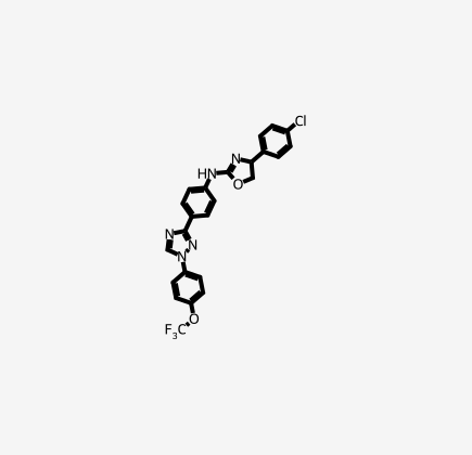 FC(F)(F)Oc1ccc(-n2cnc(-c3ccc(NC4=NC(c5ccc(Cl)cc5)CO4)cc3)n2)cc1